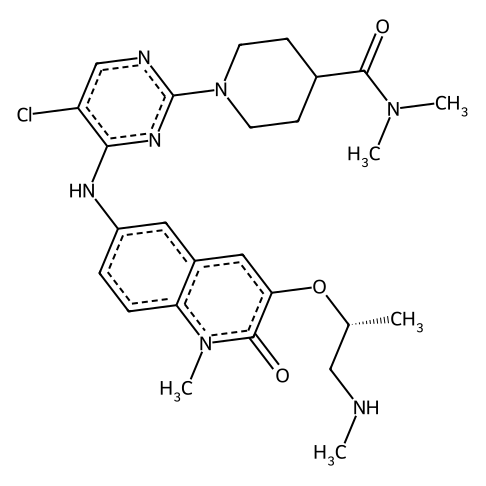 CNC[C@@H](C)Oc1cc2cc(Nc3nc(N4CCC(C(=O)N(C)C)CC4)ncc3Cl)ccc2n(C)c1=O